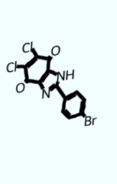 O=C1C(Cl)=C(Cl)C(=O)c2[nH]c(-c3ccc(Br)cc3)nc21